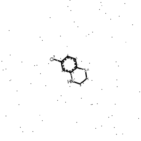 Clc1ccc2c(c1)NCCS2